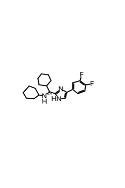 Fc1ccc(-c2c[nH]c([C@@H](NC3CCCCC3)C3CCCCC3)n2)cc1F